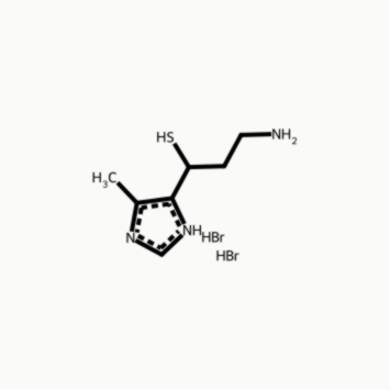 Br.Br.Cc1nc[nH]c1C(S)CCN